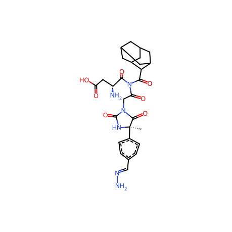 C[C@]1(c2ccc(C=NN)cc2)NC(=O)N(CC(=O)N(C(=O)C2C3CC4CC(C3)CC2C4)C(=O)[C@@H](N)CC(=O)O)C1=O